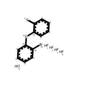 Cl.F.F.F.F.[S]c1ccccc1Oc1ccccc1Br